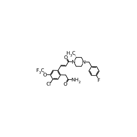 C[C@@H]1CN(Cc2ccc(F)cc2)CCN1C(=O)C=Cc1cc(OC(F)(F)F)c(Cl)cc1CC(N)=O